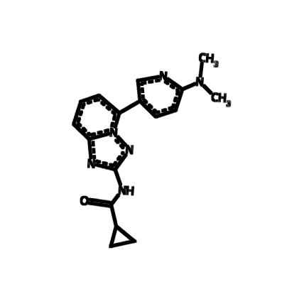 CN(C)c1ccc(-c2cccc3nc(NC(=O)C4CC4)nn23)cn1